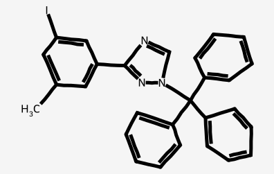 Cc1cc(I)cc(-c2ncn(C(c3ccccc3)(c3ccccc3)c3ccccc3)n2)c1